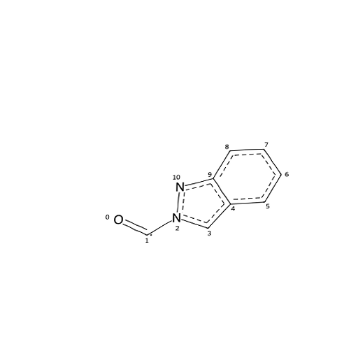 O=[C]n1cc2ccccc2n1